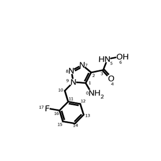 Nc1c(C(=O)NO)nnn1Cc1ccccc1F